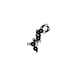 O=C(Nc1ccc(Sc2ncnc3cc4c(cc23)OCCOCCOCCO4)c(F)c1)c1c[nH]cc(-c2ccc(F)cc2)c1=O